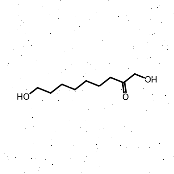 O=C(CO)CCCCCCCO